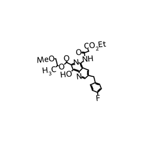 CCOC(=O)CC(=O)Nc1nc(C(=O)OC(C)COC)c(O)c2ncc(Cc3ccc(F)cc3)cc12